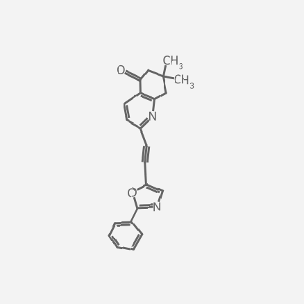 CC1(C)CC(=O)c2ccc(C#Cc3cnc(-c4ccccc4)o3)nc2C1